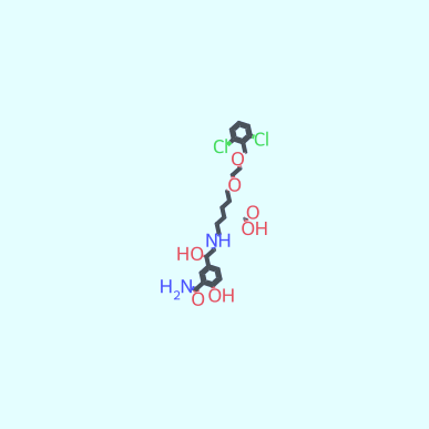 NC(=O)c1cc([C@@H](O)CNCCCCCCOCCOCc2c(Cl)cccc2Cl)ccc1O.O=CO